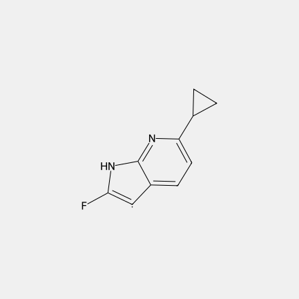 Fc1[c]c2ccc(C3CC3)nc2[nH]1